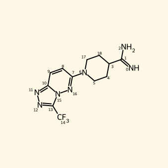 N=C(N)C1CCN(c2ccc3nnc(C(F)(F)F)n3n2)CC1